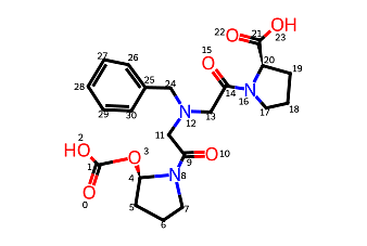 O=C(O)O[C@@H]1CCCN1C(=O)CN(CC(=O)N1CCC[C@@H]1C(=O)O)Cc1ccccc1